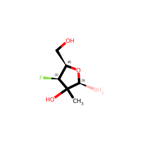 B[C@@H]1O[C@H](CO)[C@H](F)C1(C)O